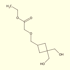 CCOC(=O)COCC1CC(CO)(CO)C1